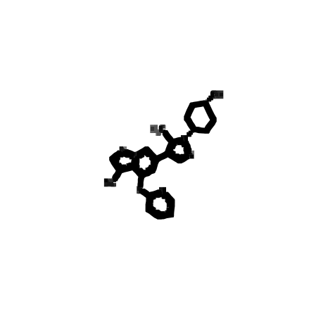 Cc1c(-c2cc(Sc3ccccn3)c3c(C#N)cnn3c2)cnn1[C@H]1CC[C@@H](O)CC1